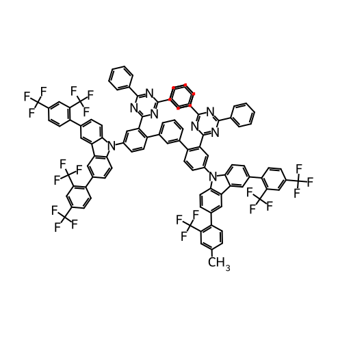 Cc1ccc(-c2ccc3c(c2)c2cc(-c4ccc(C(F)(F)F)cc4C(F)(F)F)ccc2n3-c2ccc(-c3cccc(-c4ccc(-n5c6ccc(-c7ccc(C(F)(F)F)cc7C(F)(F)F)cc6c6cc(-c7ccc(C(F)(F)F)cc7C(F)(F)F)ccc65)cc4-c4nc(-c5ccccc5)nc(-c5ccccc5)n4)c3)c(-c3nc(-c4ccccc4)nc(-c4ccccc4)n3)c2)c(C(F)(F)F)c1